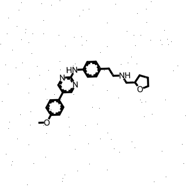 COc1ccc(-c2cnc(Nc3ccc(CCNCC4CCCO4)cc3)nc2)cc1